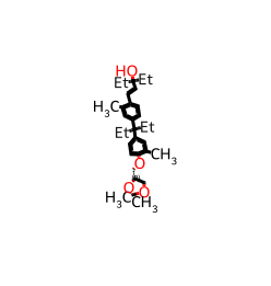 CCC(O)(C=Cc1ccc(C(CC)(CC)c2ccc(OC[C@@H]3COC(C)(C)O3)c(C)c2)cc1C)CC